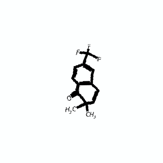 CC1(C)C=Cc2cc(C(F)(F)F)ccc2C1=O